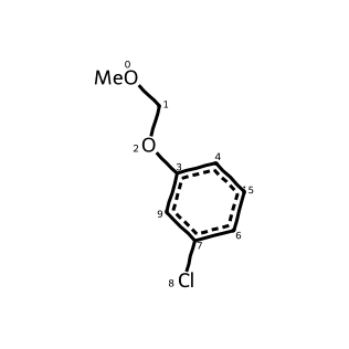 COCOc1c[c]cc(Cl)c1